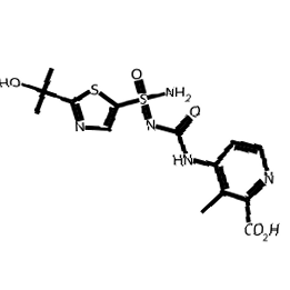 Cc1c(NC(=O)N=S(N)(=O)c2cnc(C(C)(C)O)s2)ccnc1C(=O)O